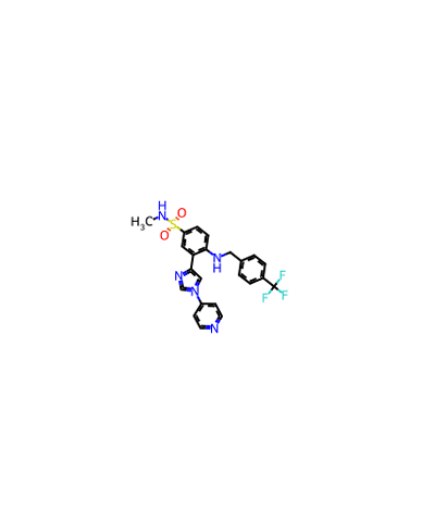 CNS(=O)(=O)c1ccc(NCc2ccc(C(F)(F)F)cc2)c(-c2cn(-c3ccncc3)cn2)c1